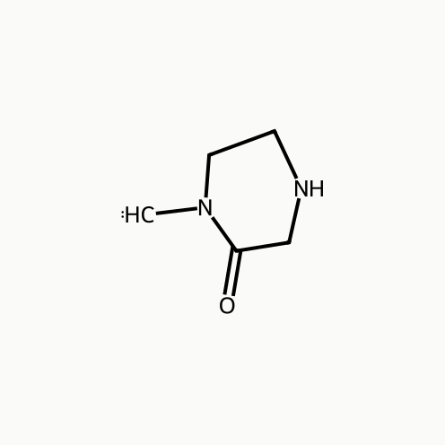 [CH]N1CCNCC1=O